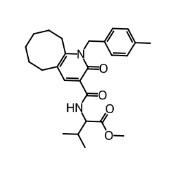 COC(=O)C(NC(=O)c1cc2c(n(Cc3ccc(C)cc3)c1=O)CCCCCC2)C(C)C